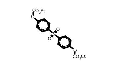 CCOC(=O)Oc1ccc(S(=O)(=O)c2ccc(OC(=O)OCC)cc2)cc1